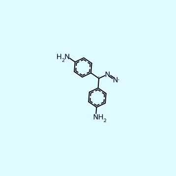 [N]=N[C](c1ccc(N)cc1)c1ccc(N)cc1